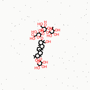 CC1OC(OC2C(OC3C(OC4CCC5(C)C(CCC6(C)C5CC=C5C7CC(C)(C)C(O)C(OC8OCC(O)C(O)C8O)C7(C)CCC56C)C4(C)CO)OC(C(=O)O)C(O)C3O)OC(CO)C(O)C2O)C(O)C(O)C1O